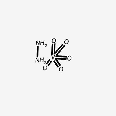 NN.[O]=[V](=[O])(=[O])(=[O])=[O]